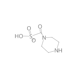 O=C(N1CCNCC1)S(=O)(=O)O